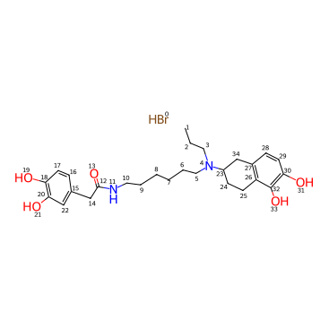 Br.CCCN(CCCCCCNC(=O)Cc1ccc(O)c(O)c1)C1CCc2c(ccc(O)c2O)C1